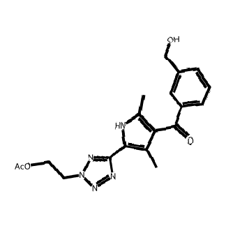 CC(=O)OCCn1nnc(-c2[nH]c(C)c(C(=O)c3cccc(CO)c3)c2C)n1